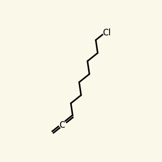 C=C=CCCCCCCCCl